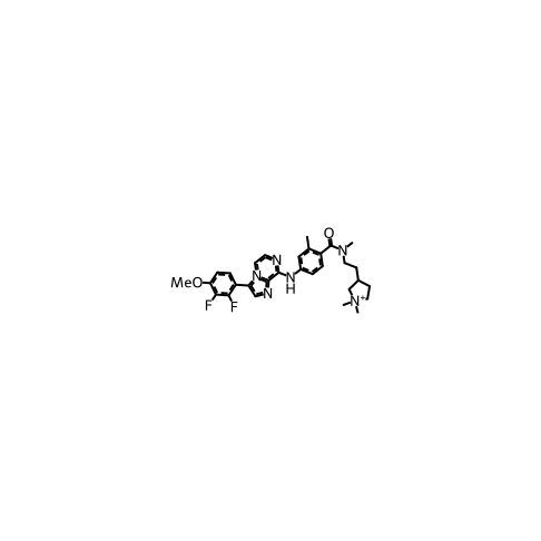 COc1ccc(-c2cnc3c(Nc4ccc(C(=O)N(C)CCC5CC[N+](C)(C)C5)c(C)c4)nccn23)c(F)c1F